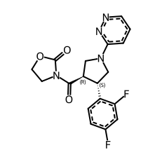 O=C1OCCN1C(=O)[C@H]1CN(c2cccnn2)C[C@@H]1c1ccc(F)cc1F